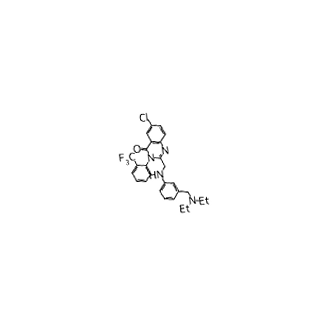 CCN(CC)Cc1cccc(NCc2nc3ccc(Cl)cc3c(=O)n2-c2ccccc2C(F)(F)F)c1